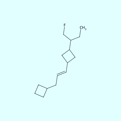 CCC(CF)C1CC(C=CCC2CCC2)C1